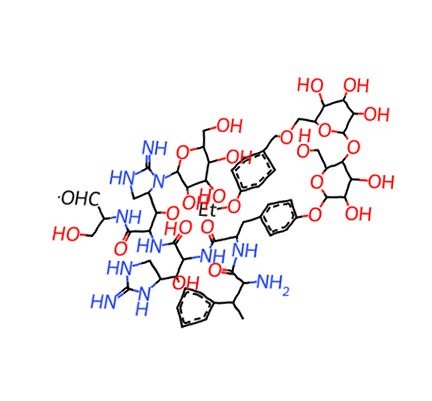 CCOc1ccc(COCC2OC(OC3C(CO)OC(Oc4ccc(CC(NC(=O)C(N)C(C)c5ccccc5)C(=O)NC(C(=O)NC(C(=O)NC([C]=O)CO)C(O)C5CNC(=N)N5C5OC(CO)C(O)C(O)C5O)C(O)C5CNC(=N)N5)cc4)C(O)C3O)C(O)C(O)C2O)cc1